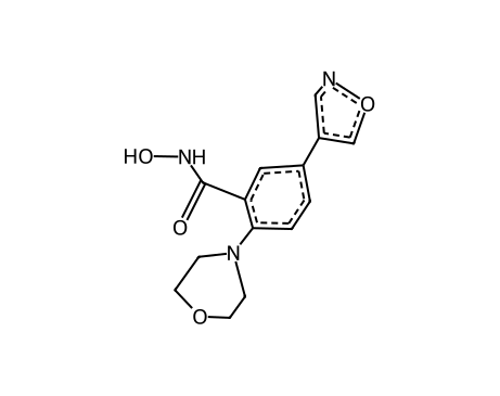 O=C(NO)c1cc(-c2cnoc2)ccc1N1CCOCC1